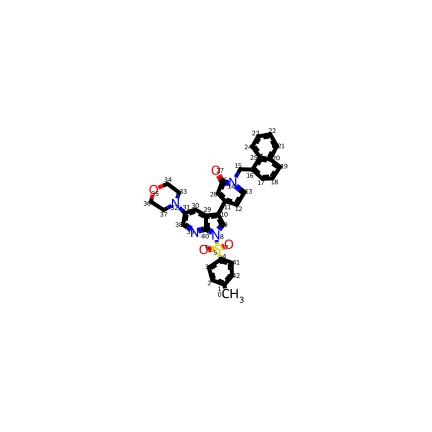 Cc1ccc(S(=O)(=O)n2cc(-c3ccn(Cc4cccc5ccccc45)c(=O)c3)c3cc(N4CCOCC4)cnc32)cc1